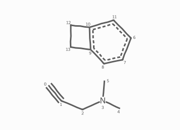 C#CCN(C)C.c1ccc2c(c1)CC2